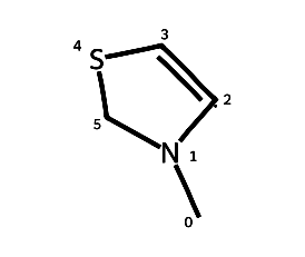 CN1[C]=CSC1